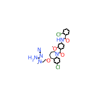 COc1cc(NC(=O)c2ccccc2Cl)ccc1C(=O)N1CCCC(OCCN(C)C(N)=NC#N)c2cc(Cl)ccc21